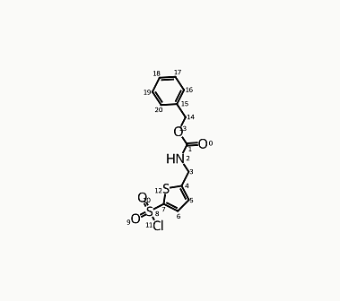 O=C(NCc1ccc(S(=O)(=O)Cl)s1)OCc1ccccc1